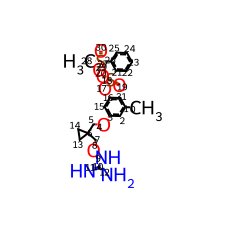 Cc1cc(OCC2(CONC(=N)N)CC2)cc(OS(=O)(=O)c2ccccc2S(C)(=O)=O)c1